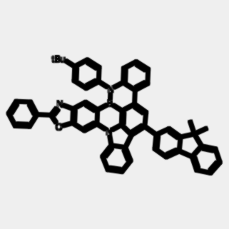 CC(C)(C)c1ccc(N2B3c4cc5nc(-c6ccccc6)oc5cc4-n4c5ccccc5c5c(-c6ccc7c(c6)C(C)(C)c6ccccc6-7)cc(c3c54)-c3ccccc32)cc1